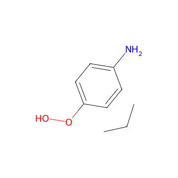 CCC.Nc1ccc(OO)cc1